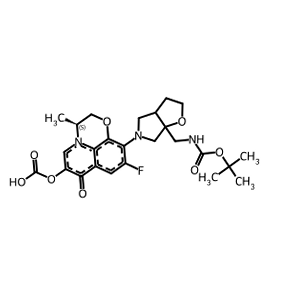 C[C@H]1COc2c(N3CC4CCOC4(CNC(=O)OC(C)(C)C)C3)c(F)cc3c(=O)c(OC(=O)O)cn1c23